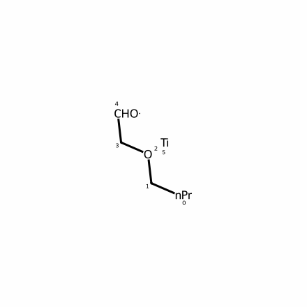 CCCCOC[C]=O.[Ti]